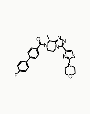 C[C@H]1c2nnc(-c3csc(N4CCOCC4)n3)n2CCN1C(=O)c1ccc(-c2ccc(F)cc2)cc1